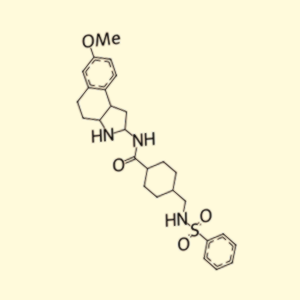 COc1ccc2c(c1)CCC1NC(NC(=O)C3CCC(CNS(=O)(=O)c4ccccc4)CC3)CC21